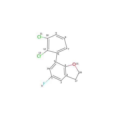 Fc1cc2c(c(-c3cccc(Cl)c3Cl)c1)O[CH]C2